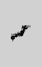 O=C(Nc1cc(C2C=CC=C(F)C2)[nH]n1)n1ccc2cc(Oc3ncnc4c3CCNC4)ccc21